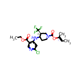 C/C=C(\C)OC(=O)N1CCC(Nc2cc(Cl)ncc2C(=O)OCC)[C@@H](C(F)(F)F)C1